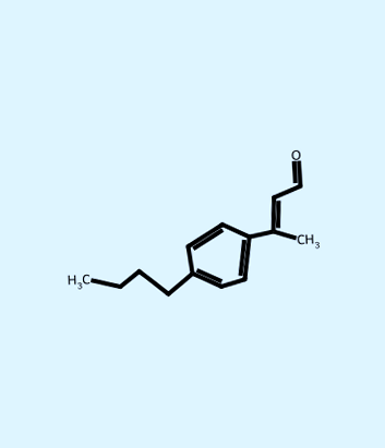 CCCCc1ccc(C(C)=CC=O)cc1